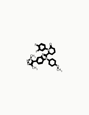 COC1CCC(n2c(C3CCCC(=O)N3c3ccc(F)c(F)c3)nc3cc(-c4c(C)nnn4C)ccc32)CC1